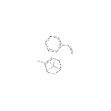 C=Cc1ccccc1.CC1=CCC2CC1C2(C)C